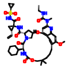 C=C[C@@H]1CC1(NC(=O)[C@@H]1C[C@@H]2CN1C(=O)[C@H](C1CCCCC1)NC(=O)OCC(C)(C)CCCc1cc3c(cc(N(C)C(=O)NCC)nc3cc1OC)O2)C(=O)NS(=O)(=O)C1CC1